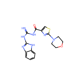 N=C(NC(=O)c1csc(N2CCOCC2)n1)Nc1nc2ccccc2[nH]1